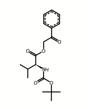 CC(C)[C@H](NC(=O)OC(C)(C)C)C(=O)OCC(=O)c1ccccc1